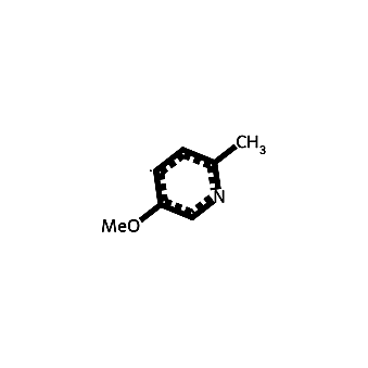 COc1[c]cc(C)nc1